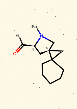 CCC(=O)[C@@H]1C[C@@]2(CN1C(C)(C)C)CC21CCCCC1